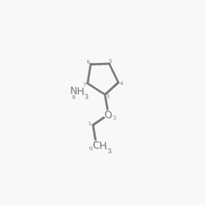 CCOC1CCCC1.N